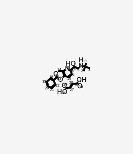 CC(C)(C)NCC(O)c1ccc2c(n1)COC(c1ccccc1)O2.O=C(O)C=CC(=O)O